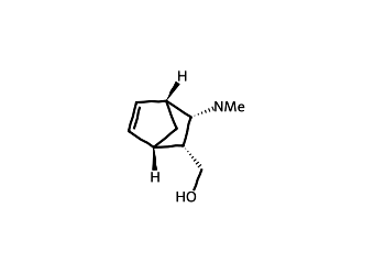 CN[C@@H]1[C@H](CO)[C@@H]2C=C[C@H]1C2